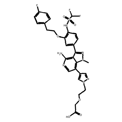 Cn1nc(-c2ccc(NS(=O)(=O)C(F)F)c(OCCc3ccc(F)cc3)c2)c2c(N)ncc(-c3cnn(CCOCC(=O)O)c3)c21